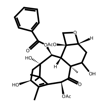 CC(=O)O[C@@H]1C(=O)[C@]2(C)C(O)C[C@H]3OC[C@@]3(OC(C)=O)[C@H]2[C@H](OC(=O)c2ccccc2)[C@]2(O)C[C@H](O)C(C)=C1C2(C)C